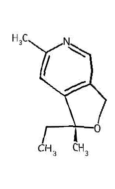 CC[C@@]1(C)OCc2cnc(C)cc21